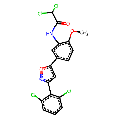 COc1ccc(-c2cc(-c3c(Cl)cccc3Cl)no2)cc1NC(=O)C(Cl)Cl